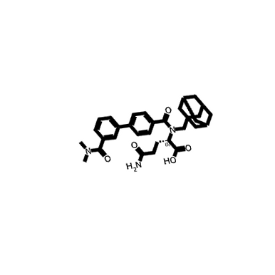 CN(C)C(=O)c1cccc(-c2ccc(C(=O)N(CC34CC5CC(CC(C5)C3)C4)[C@@H](CCC(N)=O)C(=O)O)cc2)c1